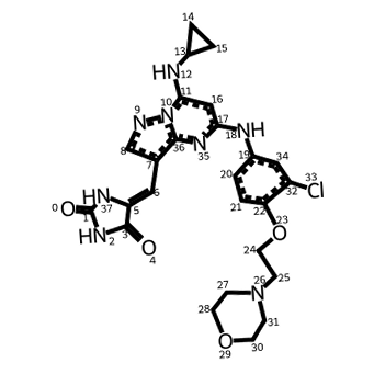 O=C1NC(=O)/C(=C/c2cnn3c(NC4CC4)cc(Nc4ccc(OCCN5CCOCC5)c(Cl)c4)nc23)N1